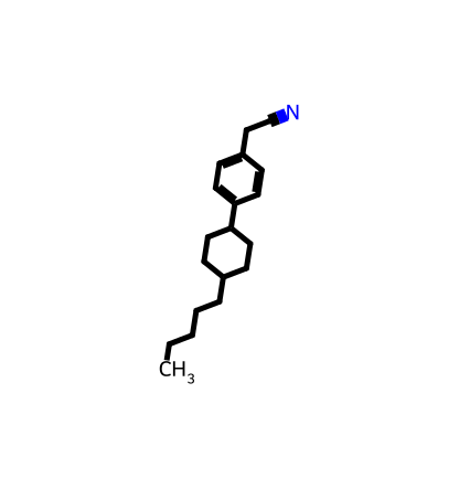 CCCCCC1CCC(c2ccc(CC#N)cc2)CC1